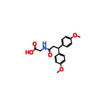 COc1ccc(C(CC(=O)NCC(=O)O)c2ccc(OC)cc2)cc1